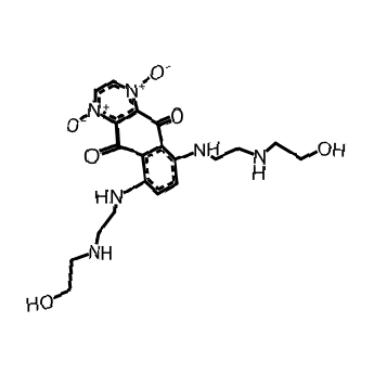 O=C1c2c(NCCNCCO)ccc(NCCNCCO)c2C(=O)c2c1[n+]([O-])cc[n+]2[O-]